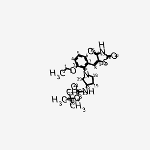 CCOc1cccc(C=C2SC(=O)NC2=O)c1N1CCC(NC(=O)OC(C)(C)C)C1